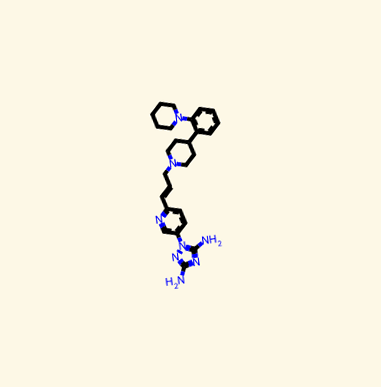 Nc1nc(N)n(-c2ccc(C=CCN3CCC(c4ccccc4N4CCCCC4)CC3)nc2)n1